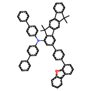 CC1(C)c2ccccc2-c2cc3c(cc21)-c1cc(-c2ccc(-c4cccc5c4oc4ccccc45)cc2)cc(N(c2ccc(-c4ccccc4)cc2)c2ccc(-c4ccccc4)cc2)c1C3(C)C